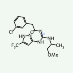 COCC(C)N/C(=N/C(=O)Cc1cccc(Cl)c1)Nc1cc(C(F)(F)F)[nH]n1